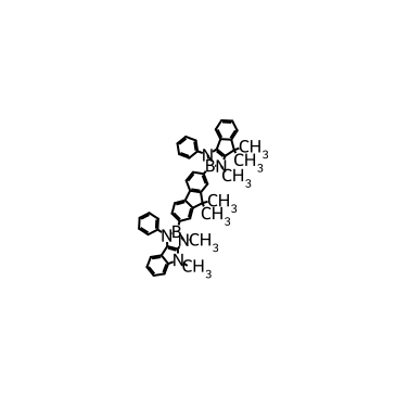 CN1B(c2ccc3c(c2)C(C)(C)c2cc(B4N(C)c5c(c6ccccc6n5C)N4c4ccccc4)ccc2-3)N(c2ccccc2)C2=C1C(C)(C)c1ccccc12